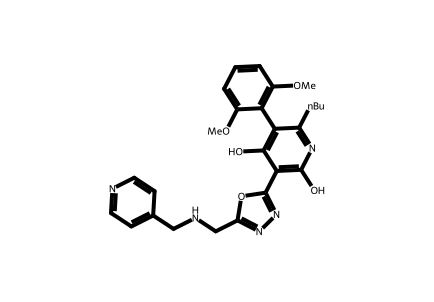 CCCCc1nc(O)c(-c2nnc(CNCc3ccncc3)o2)c(O)c1-c1c(OC)cccc1OC